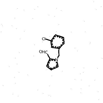 O=Cc1cccn1Cc1cccc(Cl)c1